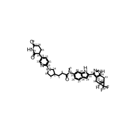 CN(C(=O)CCC1CCN(c2ccc(C3CCC(=O)NC3=O)cn2)C1)c1ccc2cc(-c3n[nH]c4c3C[C@@H]3C(F)(F)C3(C)C4)[nH]c2c1